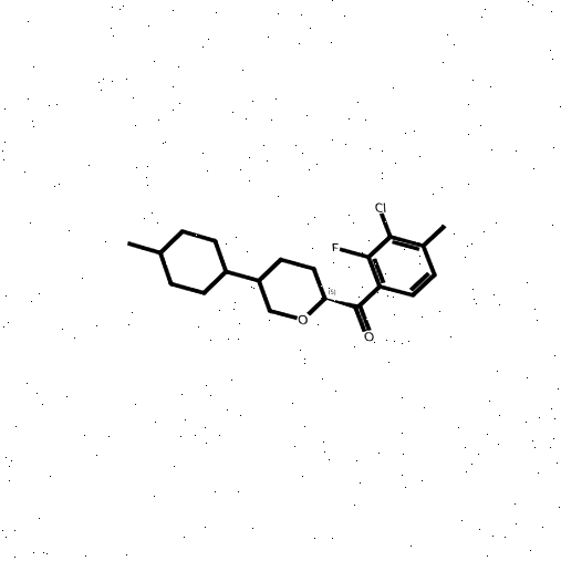 Cc1ccc(C(=O)[C@@H]2CCC(C3CCC(C)CC3)CO2)c(F)c1Cl